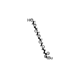 CC(C)(C)OC(=O)CCCOCCOCCOCCOCCOCCO